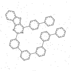 c1ccc(-c2ccc(-c3nc(-c4cccc(-c5cccc(-c6cccc(-c7cccc(-c8ccccc8)c7)c6)c5)c4)nc4c3sc3ccccc34)cc2)cc1